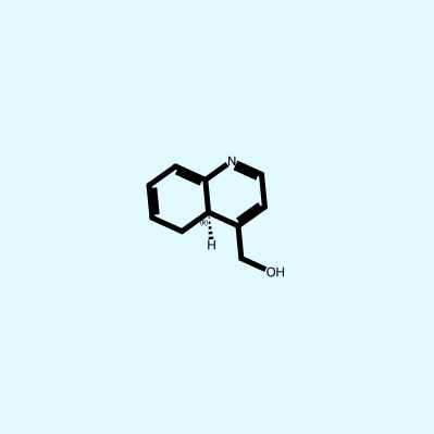 OCC1=CC=NC2=CC=CC[C@H]12